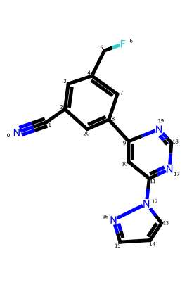 N#Cc1cc(CF)cc(-c2cc(-n3cccn3)ncn2)c1